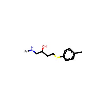 Cc1ccc(SCCC(O)CNC(C)C)cc1